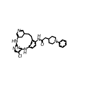 O=C(CC1CCN(c2ccccc2)CC1)Nc1ccc2cc1CCC1C=NC=C(C1)Nc1ncc(Cl)c(n1)N2